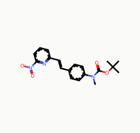 CN(C(=O)OC(C)(C)C)c1ccc(/C=C/c2cccc([N+](=O)[O-])n2)cc1